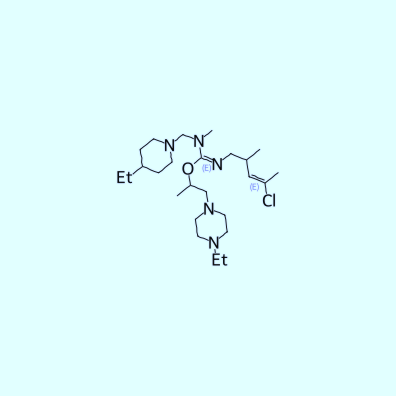 CCC1CCN(CN(C)/C(=N\CC(C)/C=C(\C)Cl)OC(C)CN2CCN(CC)CC2)CC1